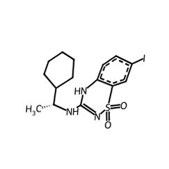 C[C@@H](NC1=NS(=O)(=O)c2cc(I)ccc2N1)C1CCCCC1